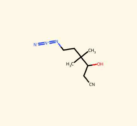 CC(C)(CCN=[N+]=[N-])C(O)CC#N